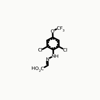 O=C(O)C=NNc1c(Cl)cc(OC(F)(F)F)cc1Cl